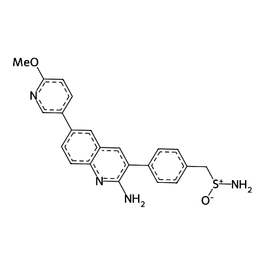 COc1ccc(-c2ccc3nc(N)c(-c4ccc(C[S+](N)[O-])cc4)cc3c2)cn1